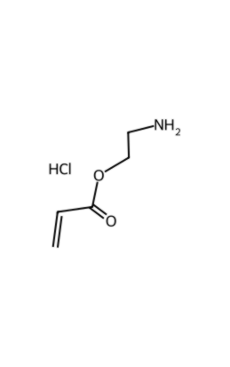 C=CC(=O)OCCN.Cl